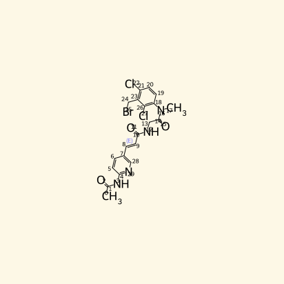 CC(=O)Nc1ccc(/C=C/C(=O)NCC(=O)N(C)c2ccc(Cl)c(CBr)c2Cl)cn1